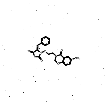 O=C1SC(=O)N(OCCN2COc3ccc([N+](=O)[O-])cc3C2=O)C1=Cc1ccccc1